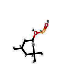 CC(CCOP=O)CC(C)(C)C